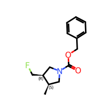 C[C@@H]1CN(C(=O)OCc2ccccc2)C[C@@H]1CF